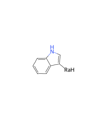 [RaH][c]1c[nH]c2ccccc12